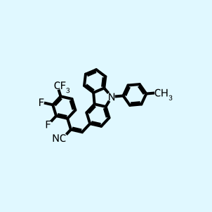 Cc1ccc(-n2c3ccccc3c3cc(C=C(C#N)c4ccc(C(F)(F)F)c(F)c4F)ccc32)cc1